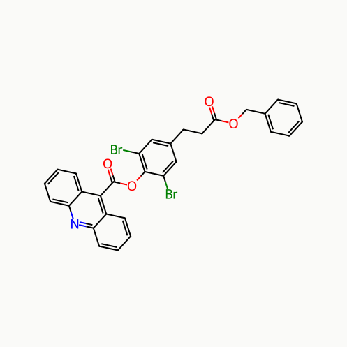 O=C(CCc1cc(Br)c(OC(=O)c2c3ccccc3nc3ccccc23)c(Br)c1)OCc1ccccc1